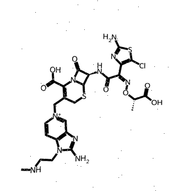 CNCCn1c(N)nc2c[n+](CC3=C(C(=O)O)N4C(=O)[C@@H](NC(=O)/C(=N\O[C@@H](C)C(=O)O)c5nc(N)sc5Cl)C4SC3)ccc21